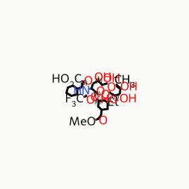 CCC1CC(C2OC2OC)C[C@@H](O[C@@H]2OC(CO)[C@H](O)C(O[C@@H](CC3CCCCC3)C(=O)O)C2NC(=O)C(F)(F)F)C1OC1OC(C)=C(O)C(O)[C@@H]1O